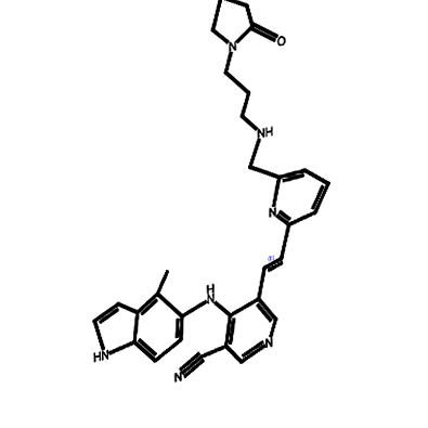 Cc1c(Nc2c(C#N)cncc2/C=C/c2cccc(CNCCCN3CCCC3=O)n2)ccc2[nH]ccc12